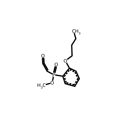 CCCCOc1ccccc1P(=O)(C=C=O)OC